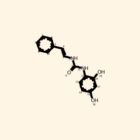 O=C(NC=Cc1ccccc1)Nc1ccc(O)cc1O